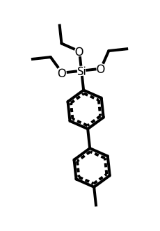 CCO[Si](OCC)(OCC)c1ccc(-c2ccc(C)cc2)cc1